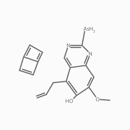 C=CCc1c(O)c(OC)cc2nc([AsH2])ncc12.c1cc2ccc1-2